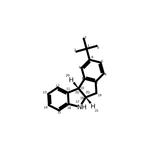 CC(C)(C)c1ccc2c(c1)[C@H]1c3ccccc3N[C@H]1C2